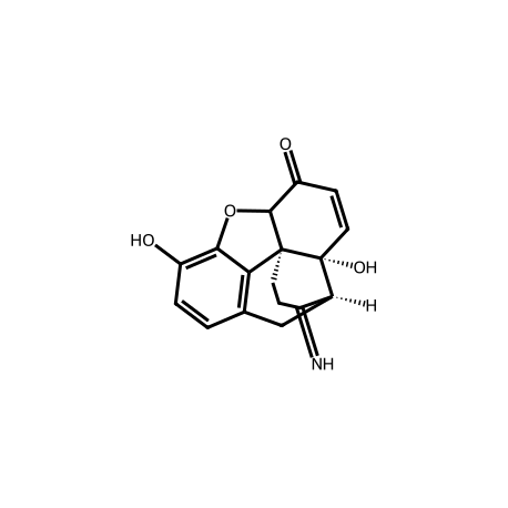 N=C1CC[C@]23c4c5ccc(O)c4OC2C(=O)C=C[C@@]3(O)[C@H]1C5